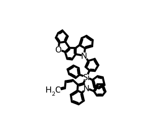 C=C/C=C\c1c([Si](c2ccccc2)(c2ccccc2)c2cccc(-n3c4ccccc4c4c5c(ccc43)oc3ccccc35)c2)n(-c2ccccc2)c2ccccc12